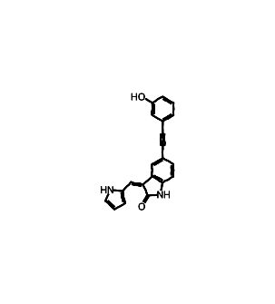 O=C1Nc2ccc(C#Cc3cccc(O)c3)cc2C1=Cc1ccc[nH]1